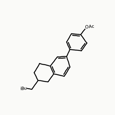 CCC(C)CC1CCc2cc(-c3ccc(OC(C)=O)cc3)ccc2C1